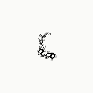 CC(C)(C)OC(=O)N1CC[C@H](COc2coc(CN3Cc4ccccc4C3)cc2=O)C1